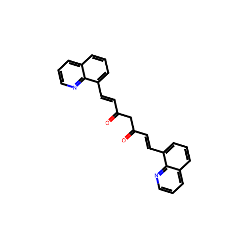 O=C(C=Cc1cccc2cccnc12)CC(=O)C=Cc1cccc2cccnc12